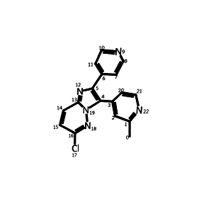 Cc1cc(-c2c(-c3ccncc3)nc3ccc(Cl)nn23)ccn1